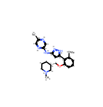 COc1cccc(OC[C@H]2CCCN(C)C2)c1-c1cc(Nc2cnc(C#N)cn2)n[nH]1